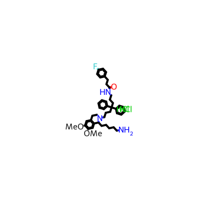 COc1cc2c(cc1OC)C(CCCCCN)N(CCCC(CCCNC(=O)CCc1ccc(F)cc1)(c1ccccc1)c1ccccc1)CC2.Cl.Cl